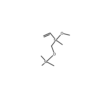 C=C[Si](C)(CO[Si](C)(C)C)OC